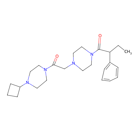 CCC(C(=O)N1CCN(CC(=O)N2CCN(C3CCC3)CC2)CC1)c1ccccc1